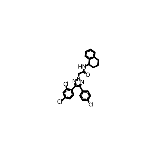 O=C(Cn1nc(-c2ccc(Cl)cc2)c(-c2ccc(Cl)cc2Cl)n1)NC1CCCc2ccccc21